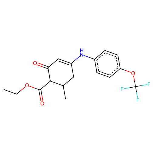 CCOC(=O)C1C(=O)C=C(Nc2ccc(OC(F)(F)F)cc2)CC1C